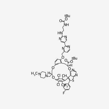 Cc1c(Cl)c2c(Cl)c(C)c1-c1c(-c3ccc(F)cc3)sc3ncnc(c13)O[C@@H](C(=O)OC(C)(C)C)Cc1cc(ccc1OCc1ccnc(-c3cnc(NCCNC(=O)OC(C)(C)C)nc3)n1)OC[C@@H](CN1CCN(C)CC1)O2